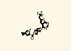 CN1CC2(CC2)C[C@H]1C(=O)N1CC2(C1)CN(c1ncnc3sc(CC(F)(F)F)cc13)C2